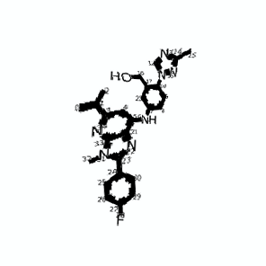 C=C(C)c1cc(Nc2ccc(-n3cnc(C)n3)c(CO)c2)c2nc(-c3ccc(F)cc3)n(C)c2n1